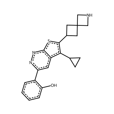 Oc1ccccc1-c1cc2c(C3CC3)c(C3CC4(CNC4)C3)sc2nn1